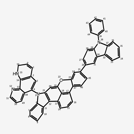 C1=Cc2cc(-n3c4ccccc4c4c5cccc6c5c(cc43)Oc3cc(-c4ccc5c(c4)c4ccccc4n5-c4ccccc4)ccc3-6)c3cccnc3c2NC1